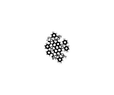 C=CCc1ccccc1OC1=CC2=C3C(=CC(Oc4ccccc4)=C4c5c(Oc6ccccc6)cc6c7c5C(=C1C34)C(Oc1ccccc1CC=C)C=C7C(=O)N(c1c(C(C)C)cccc1C(C)C)C6=O)C(=O)N(c1c(C(C)C)cccc1C(C)C)C2=O